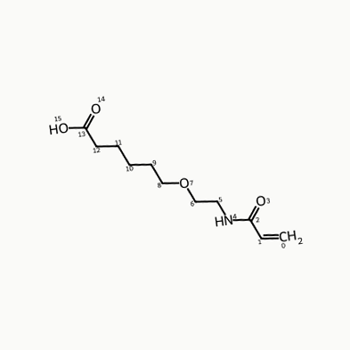 C=CC(=O)NCCOCCCCCC(=O)O